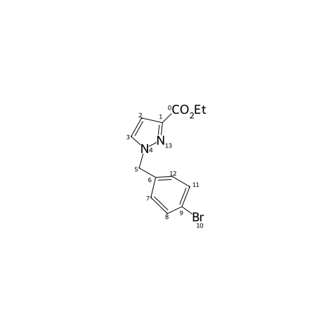 CCOC(=O)c1ccn(Cc2ccc(Br)cc2)n1